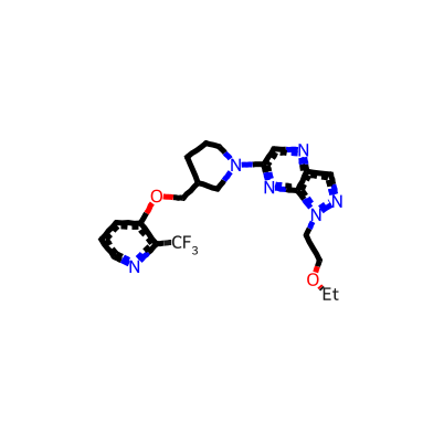 CCOCCn1ncc2ncc(N3CCCC(COc4cccnc4C(F)(F)F)C3)nc21